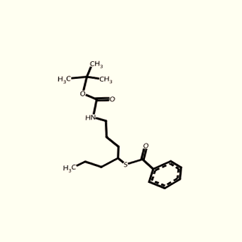 CCCC(CCCNC(=O)OC(C)(C)C)SC(=O)c1ccccc1